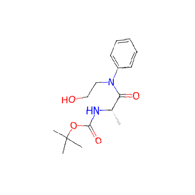 C[C@H](NC(=O)OC(C)(C)C)C(=O)N(CCO)c1ccccc1